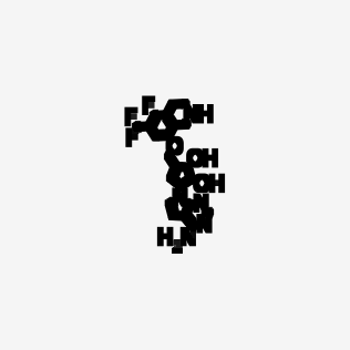 Nc1ncnc2c1ccn2C1C=C(COc2cc(C(F)F)c(F)c3c2CNCC3)C(O)C1O